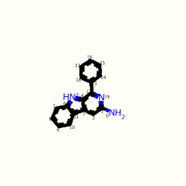 Nc1cc2c([nH]c3ccccc32)c(-c2ccccc2)n1